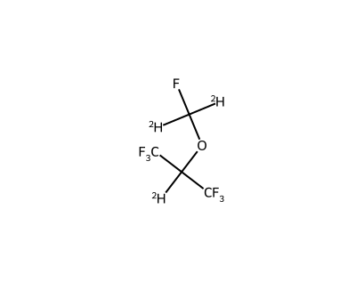 [2H]C([2H])(F)OC([2H])(C(F)(F)F)C(F)(F)F